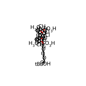 CC(C)(C)OC(O)CCOCCOCCOCCOCCC(=O)NN1C(=O)c2c(Cl)c(Cl)c(Cl)c(Cl)c2C12c1cc3c4c(c1Oc1c2cc2c5c1CCCN5C(C)(C)CC2CS(=O)(=O)O)CCCN4C(C)(C)C=C3CS(=O)(=O)O